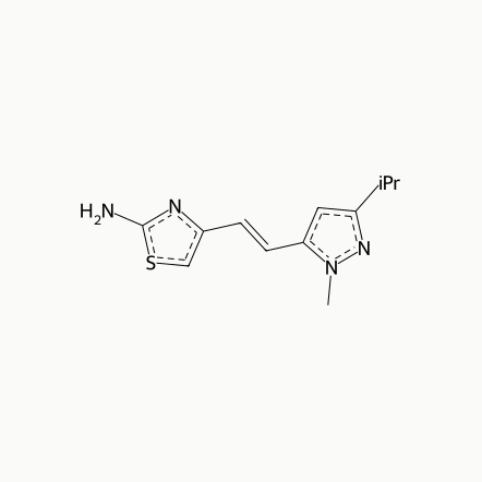 CC(C)c1cc(C=Cc2csc(N)n2)n(C)n1